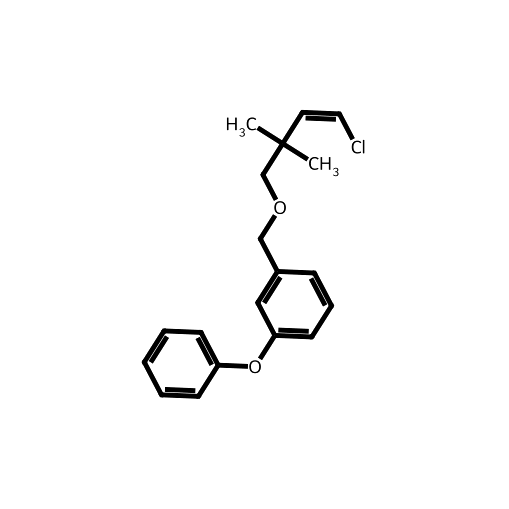 CC(C)(/C=C\Cl)COCc1cccc(Oc2ccccc2)c1